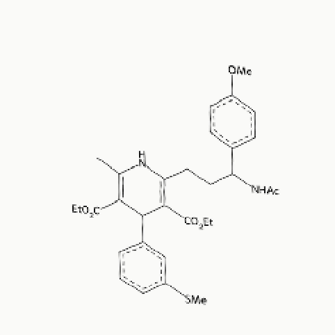 CCOC(=O)C1=C(C)NC(CCC(NC(C)=O)c2ccc(OC)cc2)=C(C(=O)OCC)C1c1cccc(SC)c1